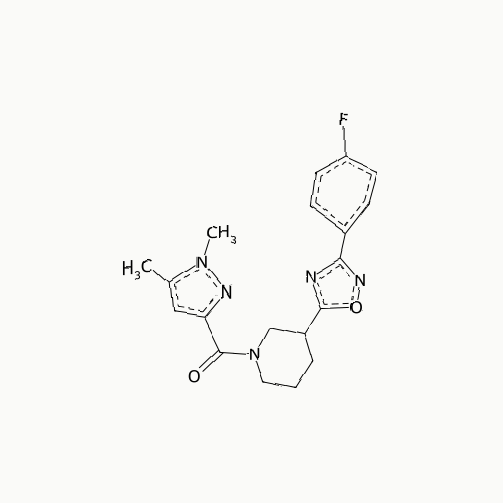 Cc1cc(C(=O)N2CCCC(c3nc(-c4ccc(F)cc4)no3)C2)nn1C